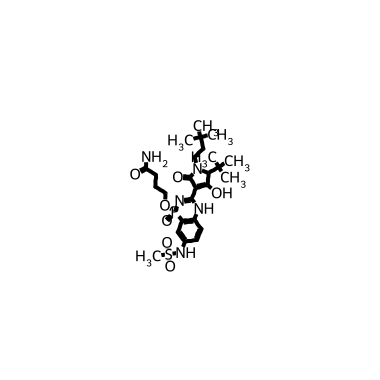 CC(C)(C)CCN1C(=O)C(C2=NP(=O)(OCCCC(N)=O)c3cc(NS(C)(=O)=O)ccc3N2)=C(O)C1C(C)(C)C